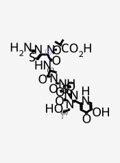 C[C@H](O)Cn1c(-c2cc(=O)c(O)c[nH]2)nn(S(=O)(=O)NC(=O)N2C[C@H](NC(=O)/C(=N\OC(C)(C)C(=O)O)c3csc(N)n3)C2=O)c1=O